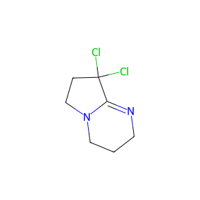 ClC1(Cl)CCN2CCCN=C21